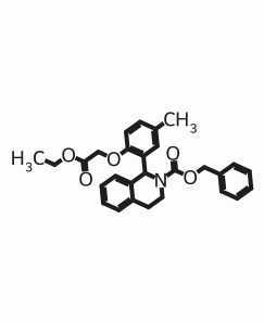 CCOC(=O)COc1ccc(C)cc1C1c2ccccc2CCN1C(=O)OCc1ccccc1